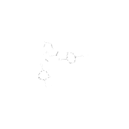 CC(=O)Nc1ccc(NC(=O)C[N+]2(CC(=O)Nc3ccc(NC(C)=O)cc3O)C=C[N+]=C2)c(O)c1